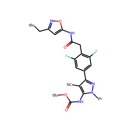 CC(C)n1nc(-c2cc(F)c(CC(=O)Nc3cc(CC(C)(C)C)no3)c(F)c2)c(C#N)c1NC(=O)OC(C)(C)C